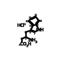 Cl.NC(CC(=O)O)Cc1c[nH]c2ccccc12